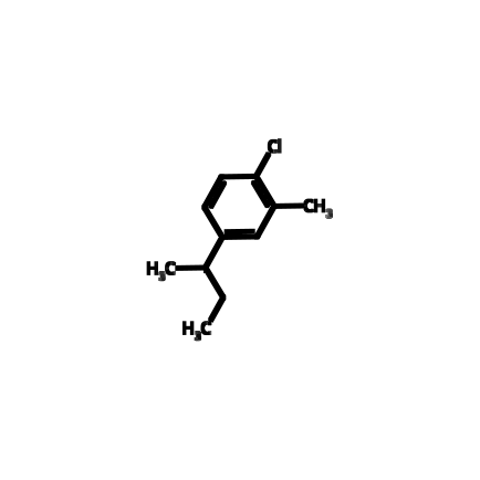 CC[C](C)c1ccc(Cl)c(C)c1